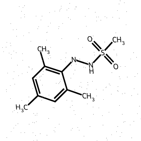 Cc1cc(C)c([N]NS(C)(=O)=O)c(C)c1